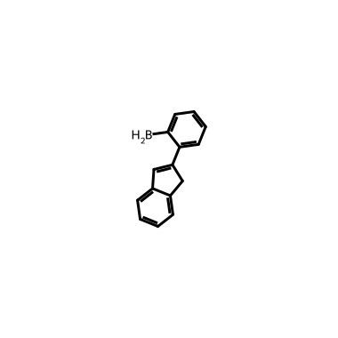 Bc1ccccc1C1=Cc2ccccc2C1